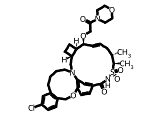 C[C@@H]1[C@@H](C)C/C=C/[C@H](OCC(=O)N2CCOCC2)[C@@H]2CC[C@H]2CN2CCCCc3cc(Cl)ccc3COc3ccc(cc32)C(=O)NS1(=O)=O